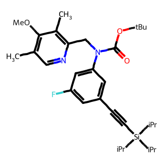 COc1c(C)cnc(CN(C(=O)OC(C)(C)C)c2cc(F)cc(C#C[Si](C(C)C)(C(C)C)C(C)C)c2)c1C